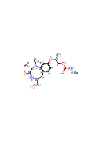 CC[C@@H](COC(=O)NC(C)(C)C)Oc1ccc2c(c1)N(C)[C@@H](C(C)C)C(=O)N[C@H](CO)C2